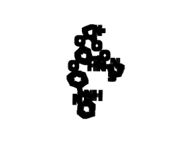 CN1CCC(Oc2cc(Oc3ccc(-c4nc5ccccc5[nH]4)cc3)cc(C(=O)Nc3nccs3)c2)C1=O